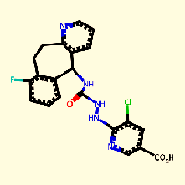 O=C(NNc1ncc(C(=O)O)cc1Cl)NC1c2cccnc2CCc2c(F)cccc21